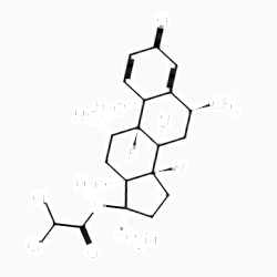 CCOC(=O)[C@@]1(OC(=O)C(Cl)Cl)CC[C@H]2[C@@H]3C[C@H](C)C4=CC(=O)C=C[C@]4(C)[C@@]3(F)[C@@H](O)C[C@@]21C